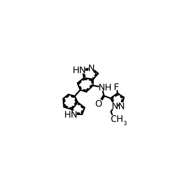 CCn1ncc(F)c1C(=O)Nc1cc(-c2cccc3[nH]ccc23)cc2[nH]ncc12